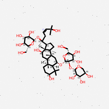 CC(C)(O)/C=C\C[C@](C)(O[C@@H]1O[C@H](CO)[C@@H](O)[C@H](O)[C@H]1O)[C@H]1CC[C@]2(C)[C@@H]1[C@H](O)C[C@@H]1[C@@]3(C)CC[C@H](O)C(C)(C)[C@@H]3[C@@H](O[C@@H]3O[C@H](CO)[C@@H](O)[C@H](O)[C@H]3O[C@@H]3OC[C@@H](O)[C@H](O)[C@H]3O)C[C@]12C